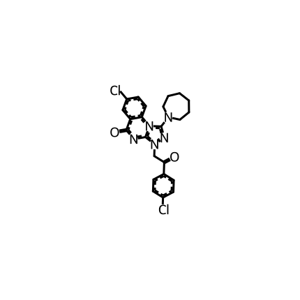 O=C(Cn1nc(N2CCCCCC2)n2c3ccc(Cl)cc3c(=O)nc12)c1ccc(Cl)cc1